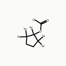 [2H]C1([2H])CCC([2H])([2H])C1([2H])OC(=O)Cl